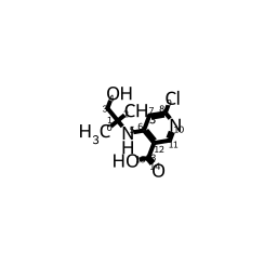 CC(C)(CO)Nc1cc(Cl)ncc1C(=O)O